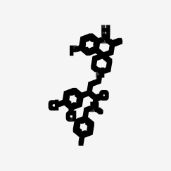 C=C1CC2(CCN(CCC(C(=O)N(C)Cc3ccc(C)cc3)c3ccc(Cl)c(Cl)c3)CC2)c2cc(F)ccc2N1